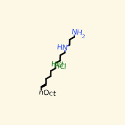 CCCCCCCCC=CCCCCCCCCNCCCN.Cl.Cl